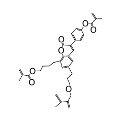 C=C(C)C(=C)COCCCc1cc(CCCCOC(=O)C(=C)C)c2oc(=O)c(-c3ccc(OC(=O)C(=C)C)cc3)cc2c1